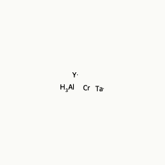 [AlH3].[Cr].[Ta].[Y]